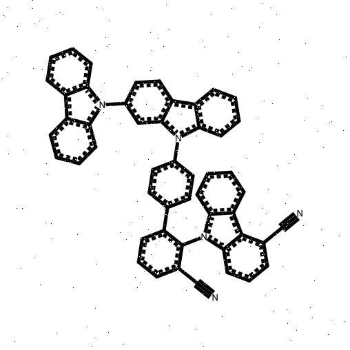 N#Cc1cccc(-c2ccc(-n3c4ccccc4c4ccc(-n5c6ccccc6c6ccccc65)cc43)cc2)c1-n1c2ccccc2c2c(C#N)cccc21